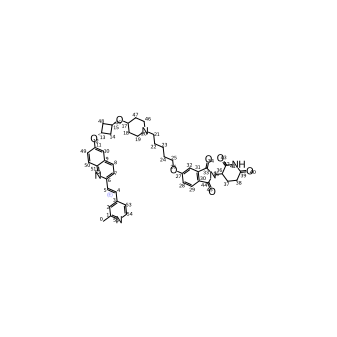 Cc1cc(/C=C/c2ccc3cc(O[C@H]4C[C@H](OC5CCN(CCCCCOc6ccc7c(c6)C(=O)N(C6CCC(=O)NC6=O)C7=O)CC5)C4)ccc3n2)ccn1